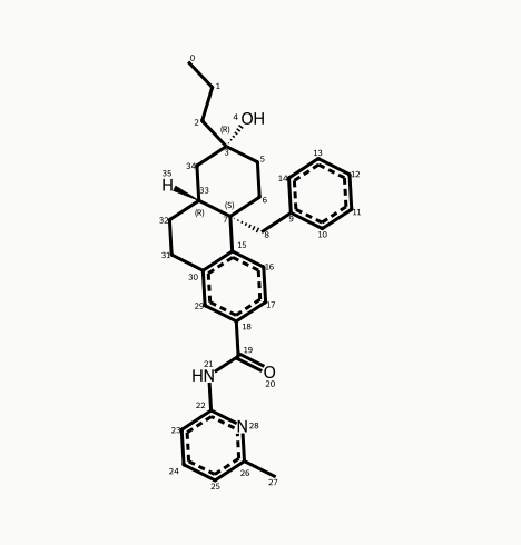 CCC[C@@]1(O)CC[C@@]2(Cc3ccccc3)c3ccc(C(=O)Nc4cccc(C)n4)cc3CC[C@@H]2C1